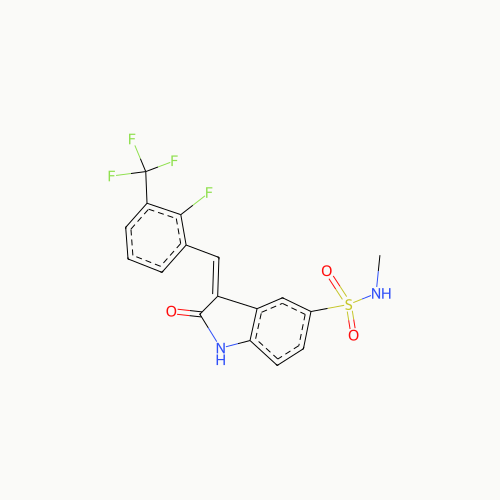 CNS(=O)(=O)c1ccc2c(c1)C(=Cc1cccc(C(F)(F)F)c1F)C(=O)N2